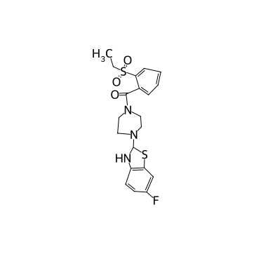 CCS(=O)(=O)c1ccccc1C(=O)N1CCN(C2Nc3ccc(F)cc3S2)CC1